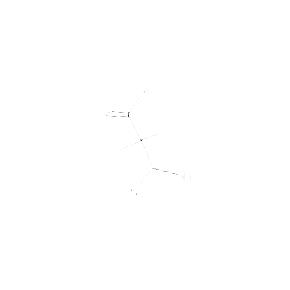 CCCC(N)C(C)(CC)C(N)=O